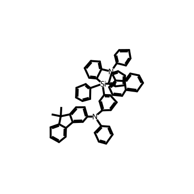 CC1(C)c2ccccc2-c2cc(N(c3ccccc3)c3cccc([Si](c4ccccc4)(c4ccccc4)c4ccccc4N(c4ccccc4)c4cccc5ccccc45)c3)ccc21